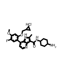 COc1cc(OCC2CC2)c(-c2ccnc3c(C(=O)NC4CCC(N)CC4)c(C)[nH]c23)cc1F.Cl